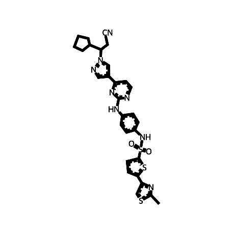 Cc1nc(-c2ccc(S(=O)(=O)Nc3ccc(Nc4nccc(-c5cnn(C(CC#N)C6CCCC6)c5)n4)cc3)s2)cs1